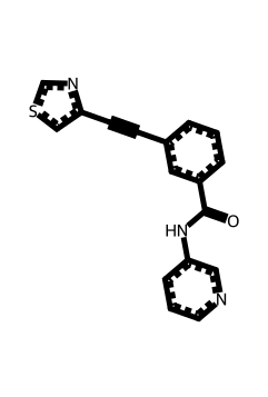 O=C(Nc1cccnc1)c1cccc(C#Cc2cscn2)c1